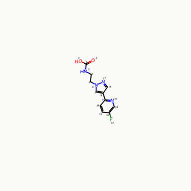 O=C(O)NCCn1cc(-c2ccc(F)cn2)cn1